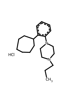 CCCN1CCN(c2ccccc2C2CCCCCC2)CC1.Cl